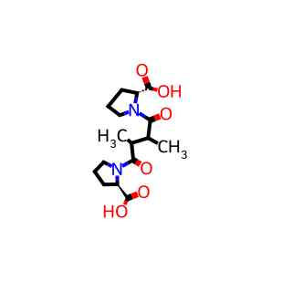 CC(C(=O)N1CCC[C@@H]1C(=O)O)C(C)C(=O)N1CCC[C@@H]1C(=O)O